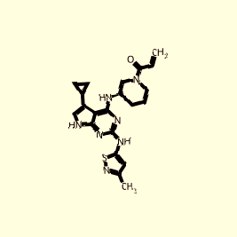 C=CC(=O)N1CCC[C@@H](Nc2nc(Nc3cc(C)ns3)nc3[nH]cc(C4CC4)c23)C1